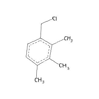 Cc1ccc(CCl)c(C)c1C